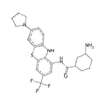 NC1CCCC(C(=O)Nc2cc(C(F)(F)F)cc3c2Nc2ccc(N4CCCC4)cc2S3)C1